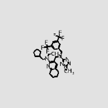 CCN(CC1CCCC1)c1nc2c(cc1CN(Cc1cc(C(F)(F)F)cc(C(F)(F)F)c1)c1nnn(C)n1)CCCC2